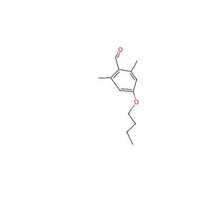 CCCCOc1cc(C)c(C=O)c(C)c1